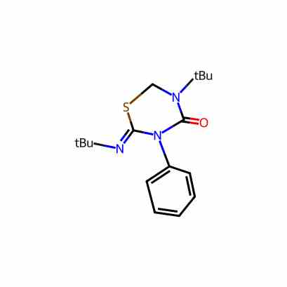 CC(C)(C)/N=C1\SCN(C(C)(C)C)C(=O)N1c1ccccc1